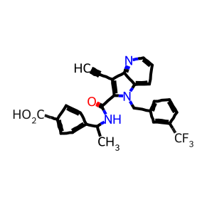 C#Cc1c(C(=O)NC(C)c2ccc(C(=O)O)cc2)n(Cc2cccc(C(F)(F)F)c2)c2cccnc12